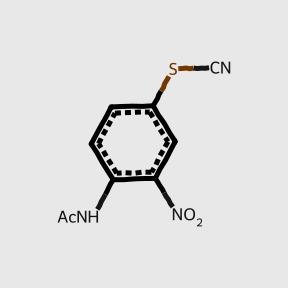 CC(=O)Nc1ccc(SC#N)cc1[N+](=O)[O-]